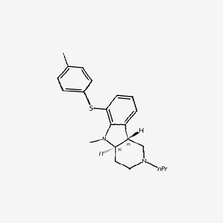 CCCN1CC[C@@H]2[C@@H](C1)c1cccc(Sc3ccc(C)cc3)c1N2C